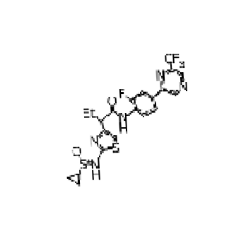 CCC(C(=O)Nc1ccc(-c2cncc(C(F)(F)F)n2)cc1F)c1csc(N[S+]([O-])C2CC2)n1